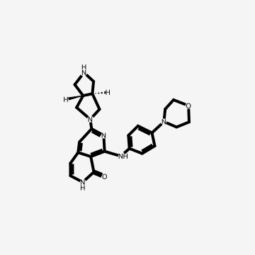 O=c1[nH]ccc2cc(N3C[C@@H]4CNC[C@H]4C3)nc(Nc3ccc(N4CCOCC4)cc3)c12